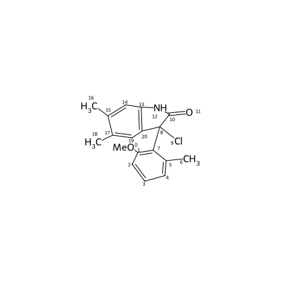 COc1cccc(C)c1C1(Cl)C(=O)Nc2cc(C)c(C)cc21